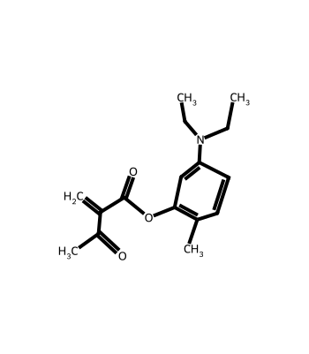 C=C(C(C)=O)C(=O)Oc1cc(N(CC)CC)ccc1C